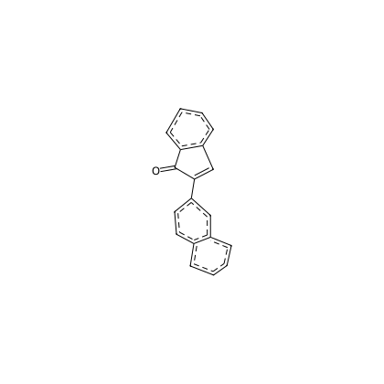 O=C1C(c2ccc3ccccc3c2)=Cc2ccccc21